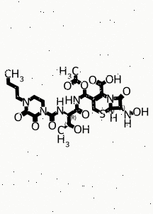 CCCCN1CCN(C(=O)N[C@@H](C(=O)NC(OC(C)=O)C2=C(C(=O)O)N3C(=O)[C@H](NO)[C@H]3SC2)[C@H](C)O)C(=O)C1=O